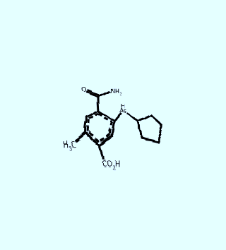 Cc1cc(C(N)=O)c([AsH]C2CCCC2)cc1C(=O)O